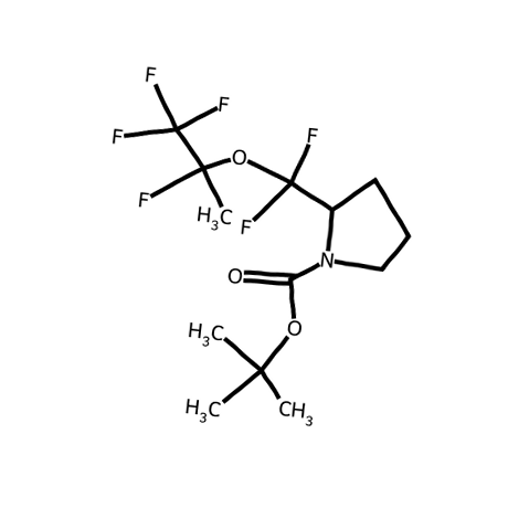 CC(C)(C)OC(=O)N1CCCC1C(F)(F)OC(C)(F)C(F)(F)F